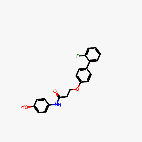 O=C(CCOc1ccc(-c2ccccc2F)cc1)Nc1ccc(O)cc1